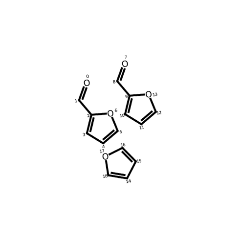 O=Cc1ccco1.O=Cc1ccco1.c1ccoc1